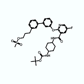 CC(C)(C)OC(=O)NC1CCC(NC(=O)c2cc(F)cnc2Oc2cccc(-c3cccc(CCCOS(C)(=O)=O)c3)c2)CC1